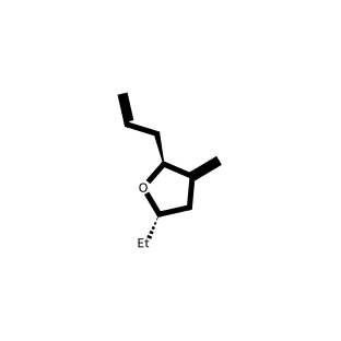 C=CC[C@@H]1O[C@@H](CC)CC1=C